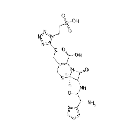 NC(C(=O)NC1C(=O)N2C(C(=O)O)=C(CSc3nnnn3CCS(=O)(=O)O)CS[C@H]12)c1cccs1